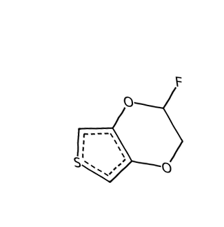 FC1COc2cscc2O1